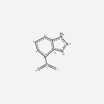 O=P(=O)c1cccc2[nH]nnc12